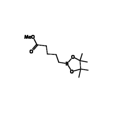 COC(=O)CCCCB1OC(C)(C)C(C)(C)O1